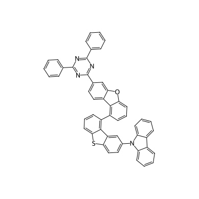 c1ccc(-c2nc(-c3ccccc3)nc(-c3ccc4c(c3)oc3cccc(-c5cccc6sc7ccc(-n8c9ccccc9c9ccccc98)cc7c56)c34)n2)cc1